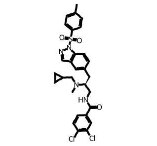 Cc1ccc(S(=O)(=O)n2ncc3cc(C[C@@H](CNC(=O)c4ccc(Cl)c(Cl)c4)N(C)CC4CC4)ccc32)cc1